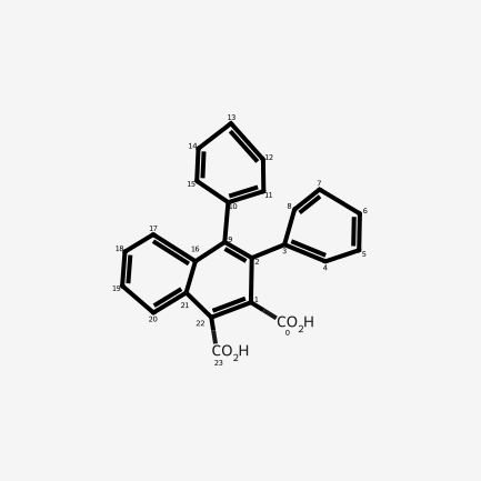 O=C(O)c1c(-c2ccccc2)c(-c2ccccc2)c2ccccc2c1C(=O)O